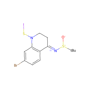 CC(C)(C)[S+]([O-])/N=C1\CCN(SI)c2cc(Br)ccc21